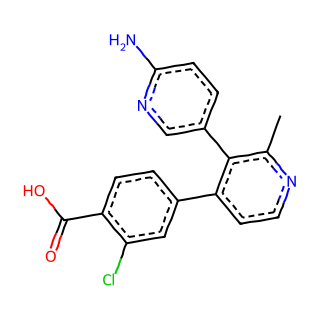 Cc1nccc(-c2ccc(C(=O)O)c(Cl)c2)c1-c1ccc(N)nc1